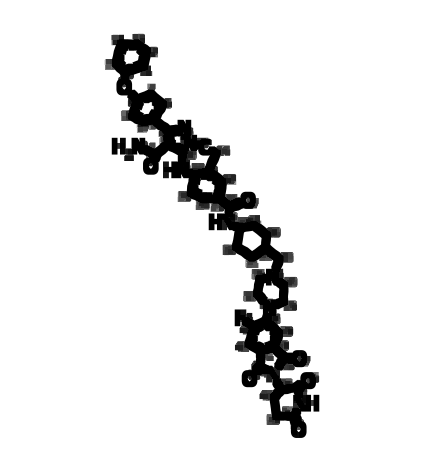 NC(=O)c1c(-c2ccc(Oc3ccccc3)cc2)nn2c1Nc1ccc(C(=O)NC3CCC(CN4CCN(c5cc6c(cc5F)C(=O)N(C5CCC(=O)NC5=O)C6=O)CC4)CC3)cc1CC2